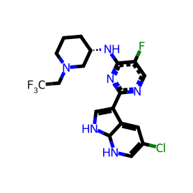 Fc1cnc(C2=CNC3NC=C(Cl)C=C23)nc1N[C@H]1CCCN(CC(F)(F)F)C1